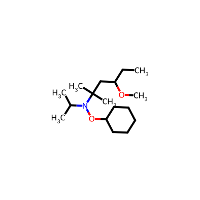 CCC(CC(C)(C)N(OC1CCCCC1)C(C)C)OC